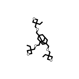 CCC1(COCC23CC4CC(COCC5(CC)COC5)(C2)CC(COCC2(CC)COC2)(C4)C3)COC1